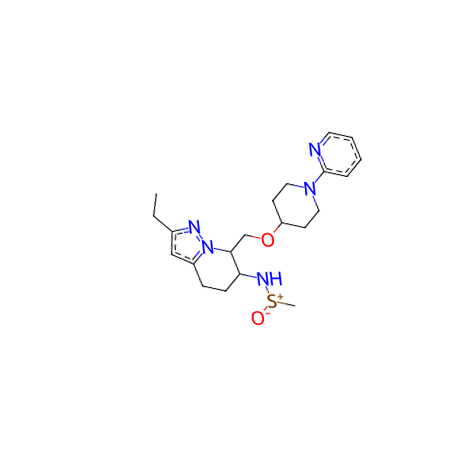 CCc1cc2n(n1)C(COC1CCN(c3ccccn3)CC1)C(N[S+](C)[O-])CC2